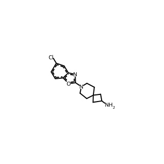 NC1CC2(CCN(c3nc4cc(Cl)ccc4o3)CC2)C1